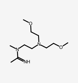 COCCN(CCOC)CCN(C)C(C)=N